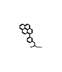 CCCCCCC(Br)Cc1cccc(-c2ccc3ccc4cccc5ccc2c3c45)c1